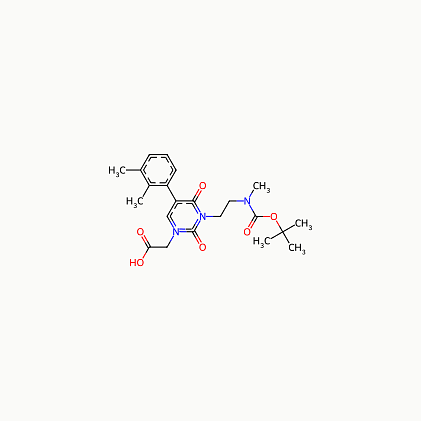 Cc1cccc(-c2cn(CC(=O)O)c(=O)n(CCN(C)C(=O)OC(C)(C)C)c2=O)c1C